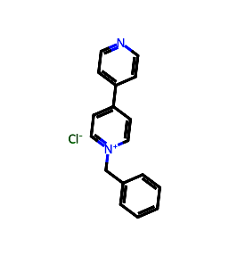 [Cl-].c1ccc(C[n+]2ccc(-c3ccncc3)cc2)cc1